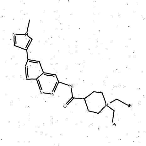 CC(C)C[N+]1(CC(C)C)CCC(C(=O)Nc2cc3cc(-c4cnn(C)c4)ccc3nn2)CC1